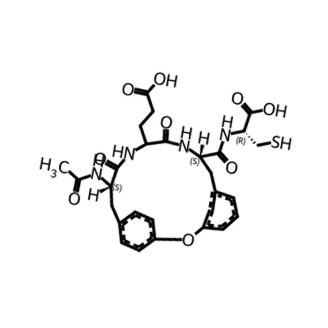 CC(=O)N[C@H]1Cc2ccc(cc2)Oc2cccc(c2)C[C@@H](C(=O)N[C@@H](CS)C(=O)O)NC(=O)C(CCC(=O)O)NC1=O